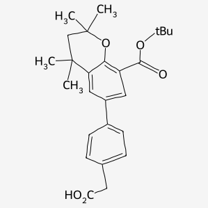 CC(C)(C)OC(=O)c1cc(-c2ccc(CC(=O)O)cc2)cc2c1OC(C)(C)CC2(C)C